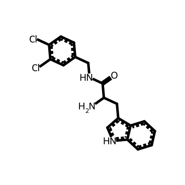 NC(Cc1c[nH]c2ccccc12)C(=O)NCc1ccc(Cl)c(Cl)c1